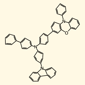 c1ccc(-c2ccc(N(c3ccc(-c4ccc5c(c4)Oc4ccccc4N5c4ccccc4)cc3)c3ccc(-n4c5ccccc5c5ccccc54)cc3)cc2)cc1